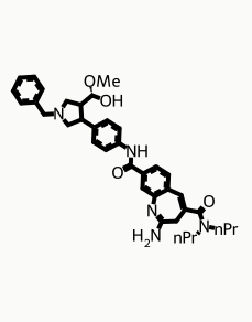 CCCN(CCC)C(=O)C1=Cc2ccc(C(=O)Nc3ccc(C4CN(Cc5ccccc5)CC4[C@@H](O)OC)cc3)cc2N=C(N)C1